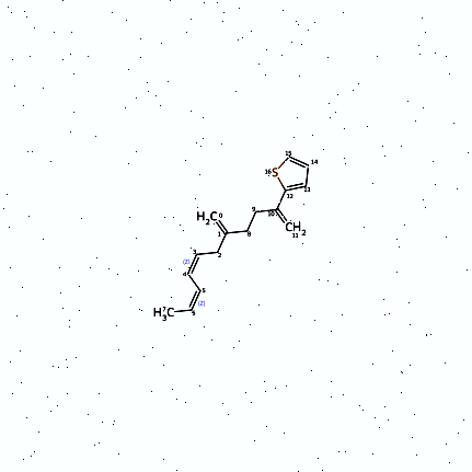 C=C(C/C=C\C=C/C)CCC(=C)c1cccs1